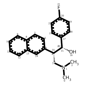 CN(C)C[C@H](c1ccc2ccccc2c1)[C@@H](O)c1ccc(F)cc1